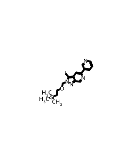 C[Si](C)(C)CCOCn1nc2cnc(-c3cccnc3)cc2c1I